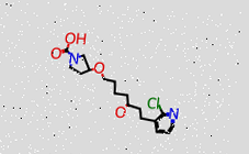 O=C(CCCCOC1CCN(C(=O)O)C1)CCc1cccnc1Cl